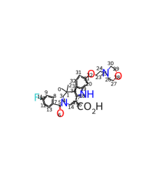 CC1(C)CN(C(=O)c2ccc(F)cc2)C=C(C(=O)O)c2[nH]c3cc(OCCN4CCOCC4)ccc3c21